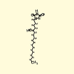 CCCCCCCCCCCCCC(O)CCCCN1CC(=O)NC1=O